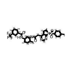 Cc1ccc(S(=O)(=O)n2ccc3c(CC(=O)Nc4cc(NC(=O)c5cccc(C(F)(F)F)c5)ccc4C)ncnc32)cc1